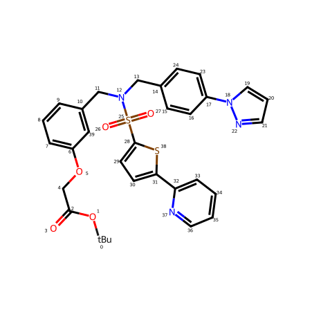 CC(C)(C)OC(=O)COc1cccc(CN(Cc2ccc(-n3cccn3)cc2)S(=O)(=O)c2ccc(-c3ccccn3)s2)c1